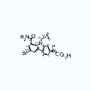 NC(=O)c1cc(Br)cc2c3ccc(NC(=O)O)cc3n(CC3CC3)c12